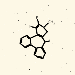 CC1CC2=C(C(F)=C1F)c1ccccc1-c1ccccc1C2I